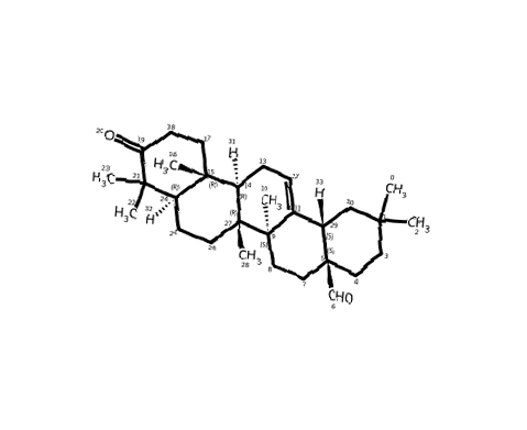 CC1(C)CC[C@]2(C=O)CC[C@]3(C)C(=CC[C@@H]4[C@@]5(C)CCC(=O)C(C)(C)[C@@H]5CC[C@]43C)[C@@H]2C1